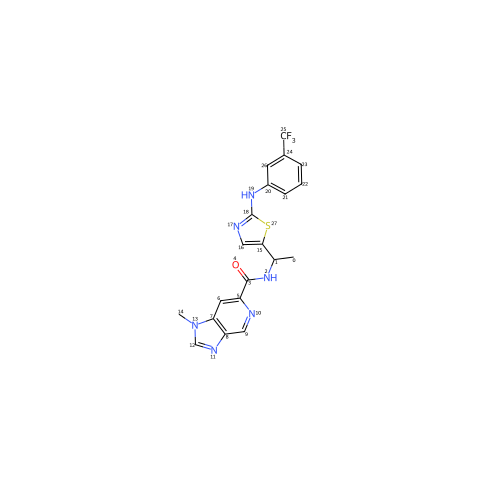 CC(NC(=O)c1cc2c(cn1)ncn2C)c1cnc(Nc2cccc(C(F)(F)F)c2)s1